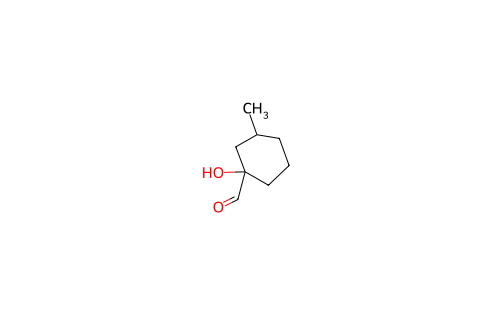 CC1CCCC(O)(C=O)C1